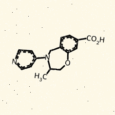 CC1COc2cc(C(=O)O)ccc2CN1c1ccncc1